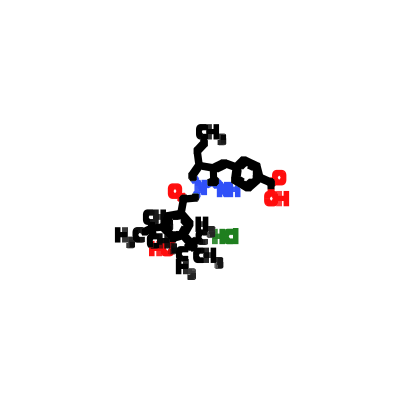 CCCC1CN(CC(=O)c2cc(C(C)(C)C)c(O)c(C(C)(C)C)c2)C(=N)C1=Cc1ccc(C(=O)O)cc1.Cl